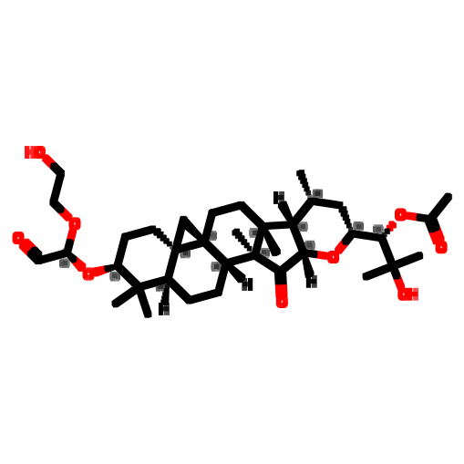 CC(=O)O[C@@H]([C@H]1C[C@@H](C)[C@@H]2[C@H](O1)C(=O)[C@@]1(C)[C@@H]3CC[C@H]4C(C)(C)[C@@H](O[C@@H](C=O)OCCO)CC[C@@]45C[C@@]35CC[C@]21C)C(C)(C)O